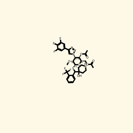 CO[C@@H]1[C@@H](n2cc(-c3cc(F)c(F)c(F)c3)nn2)[C@@H](OC(C)=O)[C@@H](COC(C)=O)O[C@H]1SC(c1ccccc1C(F)(F)F)C1(O)CCNCC1